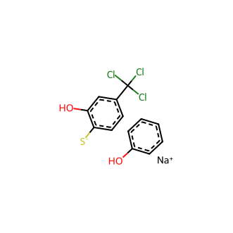 Oc1cc(C(Cl)(Cl)Cl)ccc1[S-].Oc1ccccc1.[Na+]